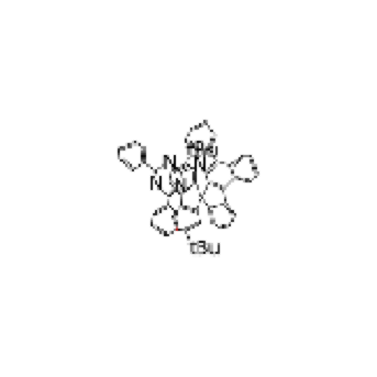 CC(C)(C)c1ccc2c(c1)C1(c3cc(C(C)(C)C)ccc3-2)c2ccccc2-c2c1c1c(c3ccccc23)c2ccccc2n1-c1nc(-c2ccccc2)nc(-c2ccccc2)n1